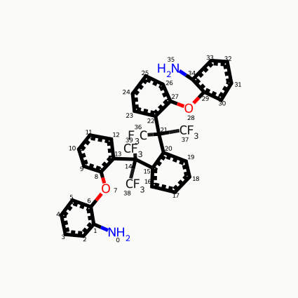 Nc1ccccc1Oc1ccccc1C(c1ccccc1C(c1ccccc1Oc1ccccc1N)(C(F)(F)F)C(F)(F)F)(C(F)(F)F)C(F)(F)F